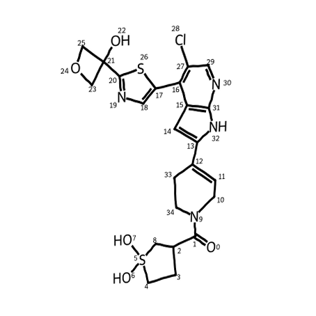 O=C(C1CCS(O)(O)C1)N1CC=C(c2cc3c(-c4cnc(C5(O)COC5)s4)c(Cl)cnc3[nH]2)CC1